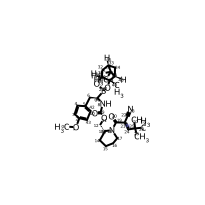 COc1ccc(C[C@H](NC(=O)OC[C@H]2CCCCN2C(=O)/C(C#N)=C/C(C)(C)C)B2O[C@@H]3C[C@@H]4C[C@@H](C4(C)C)[C@]3(C)O2)cc1